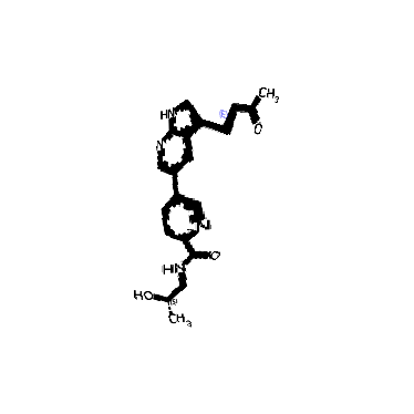 CC(=O)/C=C/c1c[nH]c2ncc(-c3ccc(C(=O)NC[C@H](C)O)nc3)cc12